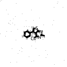 Cc1nc(Cl)c2c(-c3ccccc3)csc2n1